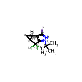 CC(C)(C)n1nc(I)c2c1C(F)(F)C1C[C@H]21